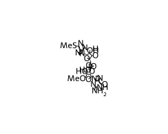 CO[C@H]1O[C@@H](n2cnc3c(=O)[nH]c(N)nc32)C(OP(=O)(O)OC[C@H]2O[C@@H](n3cnc4c(SC)ncnc43)C(O)C2O)C1O